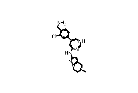 CN1CCn2nc(NC3=CC(c4ccc(CN)c(Cl)c4)=CNC=N3)cc2C1